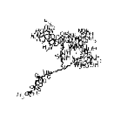 CN(C)CCN1C(=O)c2ccc3c4c(ccc(c24)C1=O)C(=O)N(CCCC(=O)NCCCCCN(CCCCNC(=S)NCCSC[C@H]1OC(O[C@@H]2C(O)[C@H](N)CC(N)[C@H]2O[C@H]2OC(CN)[C@@H](O)[C@H](O)C2N)[C@@H](O)[C@H]1O[C@H]1O[C@@H](CN)[C@@H](O)C(O)C1N)CCCNC(=S)NCCSC[C@H]1OC(O[C@@H]2C(O)[C@H](N)CC(N)[C@H]2O[C@H]2OC(CN)[C@@H](O)[C@H](O)C2N)[C@@H](O)[C@H]1O[C@H]1O[C@@H](CN)[C@@H](O)C(O)C1N)C3=O